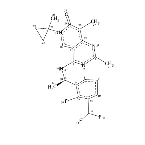 Cc1nc(N[C@H](C)c2cccc(C(F)F)c2F)c2cn(C3(C)CC3)c(=O)c(C)c2n1